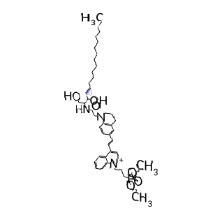 CCCCCCCCCCCCC/C=C/C(O)C(CO)NC(=O)CN1CCCc2cc(C=Cc3cc[n+](CCCP(=O)(OCC)OCC)c4ccccc34)ccc21